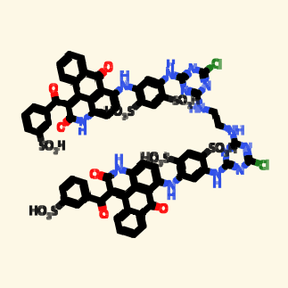 O=C(c1cccc(S(=O)(=O)O)c1)c1c2c3c(c(Nc4cc(Nc5nc(Cl)nc(NCCNc6nc(Cl)nc(Nc7cc(Nc8ccc9[nH]c(=O)c(C(=O)c%10cccc(S(=O)(=O)O)c%10)c%10c9c8C(=O)c8ccccc8-%10)c(S(=O)(=O)O)cc7S(=O)(=O)O)n6)n5)c(S(=O)(=O)O)cc4S(=O)(=O)O)ccc3[nH]c1=O)C(=O)c1ccccc1-2